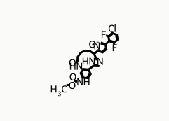 CCOC(=O)Nc1ccc2c(c1)NC(=O)CCCCC(c1ccc(-c3c(F)ccc(Cl)c3F)c[n+]1[O-])c1ncc-2[nH]1